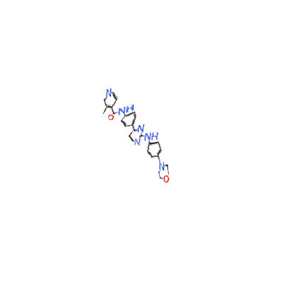 Cc1cnccc1C(=O)Nc1ccc(-c2ccnc(Nc3ccc(N4CCOCC4)cc3)n2)cc1